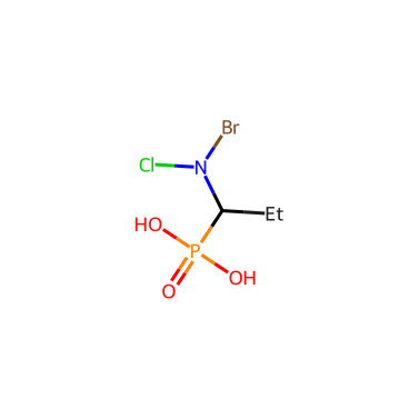 CCC(N(Cl)Br)P(=O)(O)O